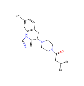 CCC(CC)CC(=O)N1CCN(C(Cc2ccc(C#N)cc2)c2cnc[nH]2)CC1